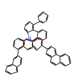 c1ccc(-c2ccccc2-c2c(-c3ccccc3)cccc2N(c2ccc(-c3ccc4c(ccc5ccccc54)c3)cc2)c2cccc(-c3ccc4ccccc4c3)c2)cc1